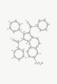 O=C(O)c1ccc2c(ccc3c(C(=O)c4ccccc4)c(-c4ccccc4)c(C(=O)c4ccccc4)n32)c1